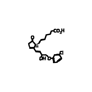 O=C(O)CCCC=CC[C@H]1C(=O)CC=C1C=CC(O)COc1cccc(Cl)c1